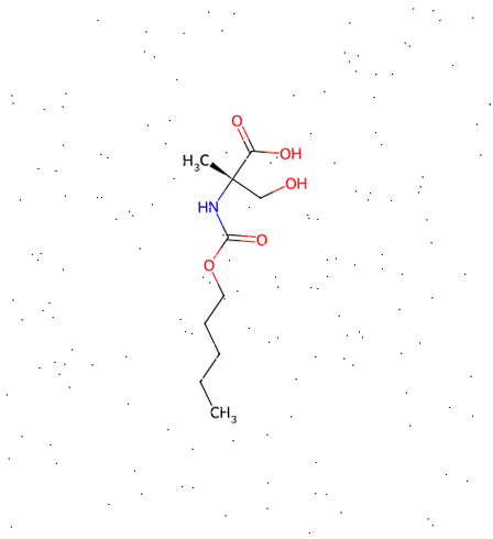 CCCCCOC(=O)N[C@@](C)(CO)C(=O)O